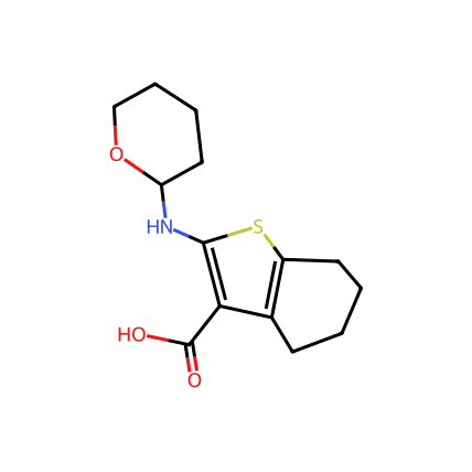 O=C(O)c1c(NC2CCCCO2)sc2c1CCCC2